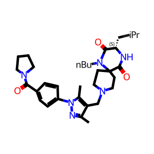 CCCCN1C(=O)[C@H](CC(C)C)NC(=O)C12CCN(Cc1c(C)nn(-c3ccc(C(=O)N4CCCC4)cc3)c1C)CC2